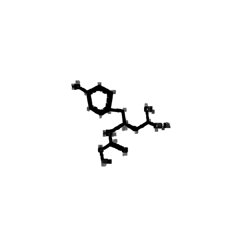 CCOC(=O)C(C)C[C@H](Cc1ccc(O)cc1)NC(=O)OC(C)(C)C